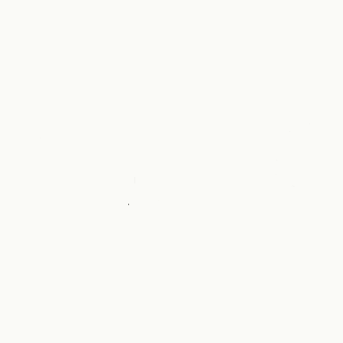 CCCc1ccc(C(F)(F)Oc2ccc(CCc3cc(F)c(OC(F)F)c(F)c3)cc2)c(F)c1